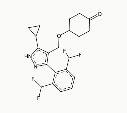 O=C1CCC(OCc2c(-c3c(C(F)F)cccc3C(F)F)n[nH]c2C2CC2)CC1